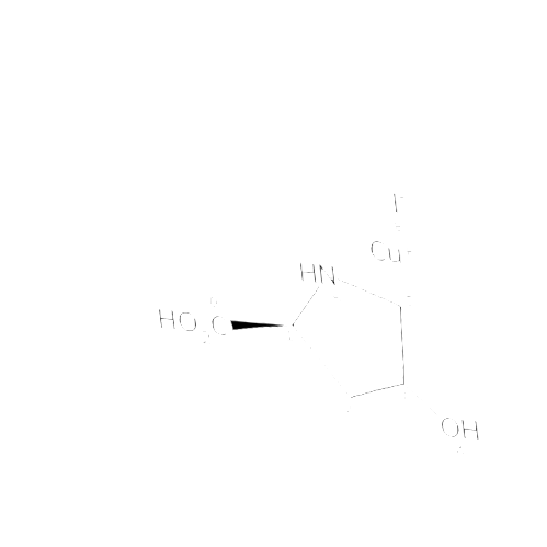 O=C(O)[C@@H]1CC(O)CN1.[Cu+].[I-]